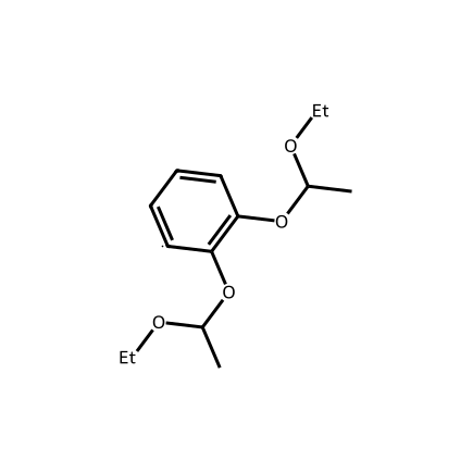 CCOC(C)Oc1[c]cccc1OC(C)OCC